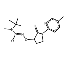 Cc1ccc(N2CCC(O/N=[N+](\[O-])N(C)C(C)(C)C)C2=O)nc1